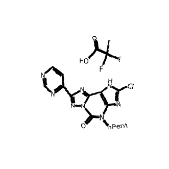 CCCCCn1c(=O)n2nc(-c3ccncn3)nc2c2[nH]c(Cl)nc21.O=C(O)C(F)(F)F